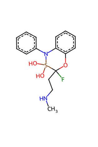 CNCCC1(F)Oc2ccccc2N(c2ccccc2)S1(O)O